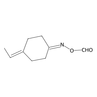 CC=C1CCC(=NOC=O)CC1